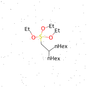 CCCCCCC(CCCCCC)CS(OCC)(OCC)OCC